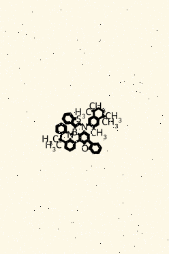 Cc1cc2c(cc1N1c3cc4c(oc5ccccc54)c4c3B(c3c1sc1ccccc31)N1c3ccccc3C(C)(C)c3cccc-4c31)C(C)(C)CCC2(C)C